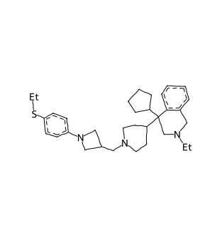 CCSc1ccc(N2CC(CN3CCC(C4(C5CCCC5)CN(CC)Cc5ccccc54)CC3)C2)cc1